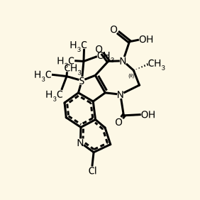 C[C@@H]1CN(C(=O)O)C2=C(C(=O)N1C(=O)O)S(C(C)(C)C)(C(C)(C)C)c1ccc3nc(Cl)ccc3c12